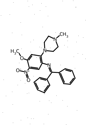 COc1cc(N2CCN(C)CC2)c(N=C(c2ccccc2)c2ccccc2)cc1[N+](=O)[O-]